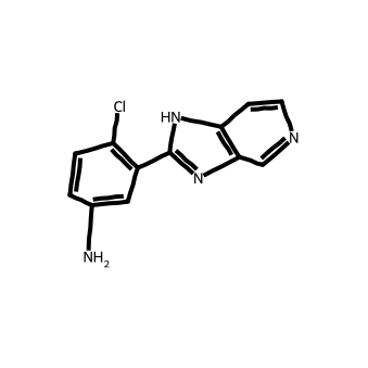 Nc1ccc(Cl)c(-c2nc3cnccc3[nH]2)c1